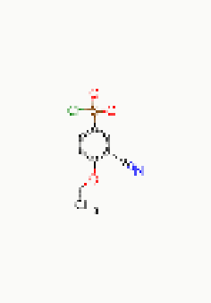 CCOc1ccc(S(=O)(=O)Cl)cc1C#N